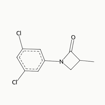 CC1CN(c2cc(Cl)cc(Cl)c2)C1=O